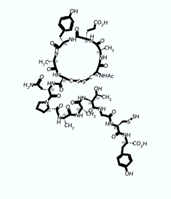 CC(=O)N[C@H]1CSSC[C@@H](C(=O)N[C@@H](CC(N)=O)C(=O)N2CCC[C@H]2C(=O)N[C@@H](C)C(=O)N[C@@H](C)C(=O)N[C@H](C(=O)NCC(=O)N[C@@H](CSS)C(=O)N[C@@H](Cc2ccc(O)cc2)C(=O)O)[C@H](C)O)NC(=O)[C@H](C)NC(=O)[C@H](Cc2ccc(O)cc2)NC(=O)[C@H](CCC(=O)O)NC(=O)[C@H](C)NC1=O